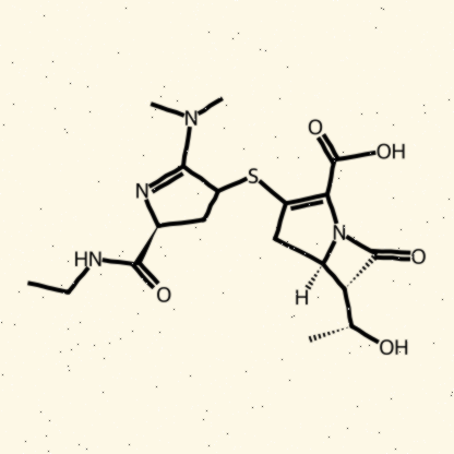 CCNC(=O)[C@@H]1CC(SC2=C(C(=O)O)N3C(=O)[C@H]([C@@H](C)O)[C@H]3C2)C(N(C)C)=N1